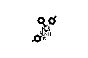 Cc1ccc(N2SC(NS(=O)(=O)c3ccc(C)cc3)N=C2c2ccccc2)cc1